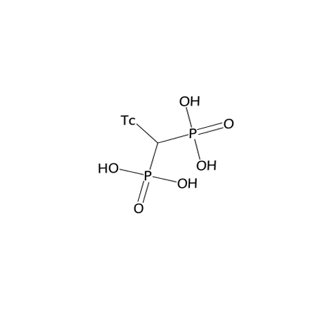 O=P(O)(O)[CH]([Tc])P(=O)(O)O